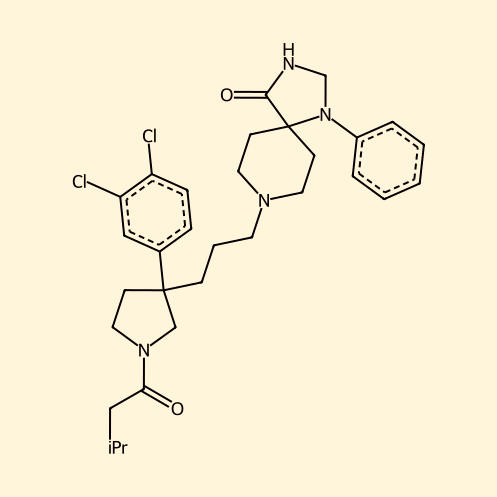 CC(C)CC(=O)N1CCC(CCCN2CCC3(CC2)C(=O)NCN3c2ccccc2)(c2ccc(Cl)c(Cl)c2)C1